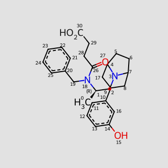 C[C@H](CN1C2CCC1CC(c1cccc(O)c1)C2)N(Cc1ccccc1)C(=O)CCC(=O)O